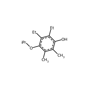 CCc1c(O)c(C)c(C)c(OC(C)C)c1CC